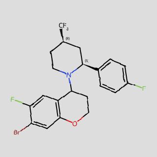 Fc1ccc([C@@H]2C[C@H](C(F)(F)F)CCN2C2CCOc3cc(Br)c(F)cc32)cc1